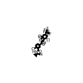 N#CC1(NC(=O)c2cc(-c3cc(C4C(Cl)=CC(C(F)(C(F)(F)F)C(F)(F)F)=CC4(Cl)C(F)(F)F)no3)ccc2Cl)CC1